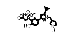 O=C1CN(c2c(O)ccc(-c3cc(C4CC4)n(CC4CCNC4)n3)c2F)S(=O)(=O)N1